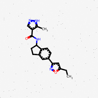 CCc1cc(-c2ccc3c(c2)CCC3NC(=O)c2cn[nH]c2C)no1